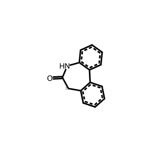 O=C1[C]c2ccccc2-c2ccccc2N1